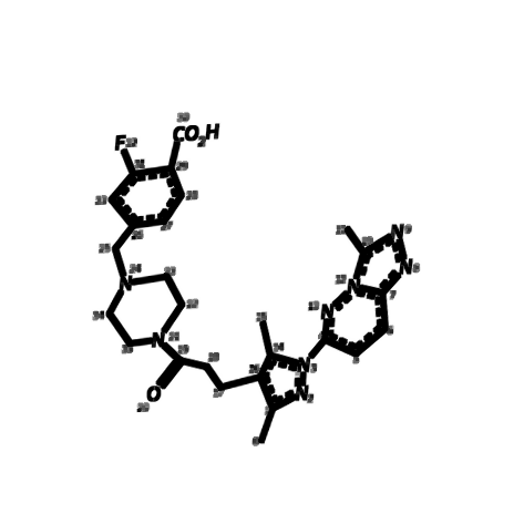 Cc1nn(-c2ccc3nnc(C)n3n2)c(C)c1CCC(=O)N1CCN(Cc2ccc(C(=O)O)c(F)c2)CC1